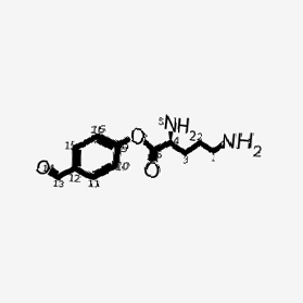 NCCC[C@H](N)C(=O)Oc1ccc(C=O)cc1